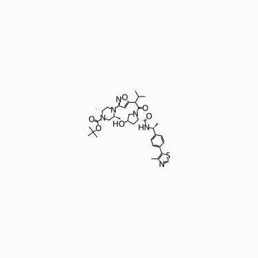 Cc1ncsc1-c1ccc([C@H](C)NC(=O)[C@@H]2C[C@@H](O)CN2C(=O)C(c2cc(N3C[C@@H](C)N(C(=O)OC(C)(C)C)C[C@@H]3C)no2)C(C)C)cc1